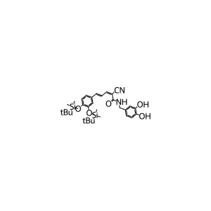 CC(C)(C)[Si](C)(C)Oc1ccc(C=CC=C(C#N)C(=O)NCc2ccc(O)c(O)c2)cc1O[Si](C)(C)C(C)(C)C